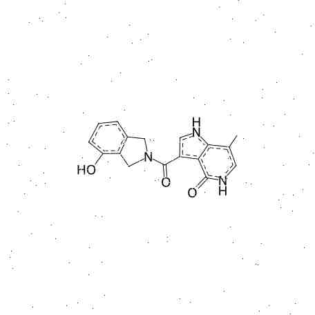 Cc1c[nH]c(=O)c2c(C(=O)N3Cc4cccc(O)c4C3)c[nH]c12